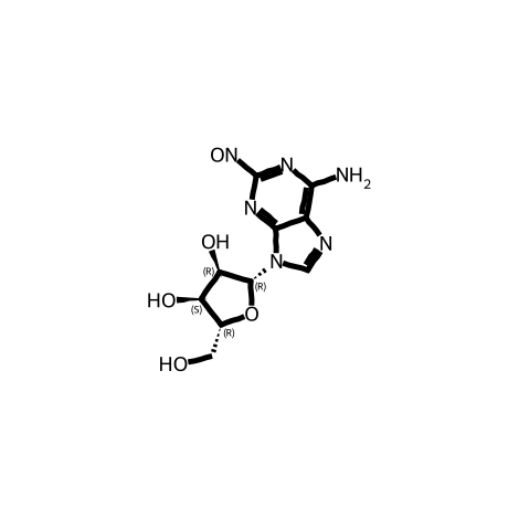 Nc1nc(N=O)nc2c1ncn2[C@@H]1O[C@H](CO)[C@@H](O)[C@H]1O